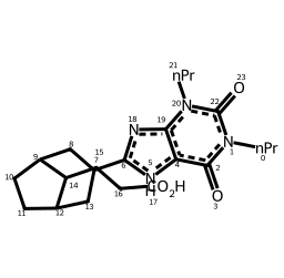 CCCn1c(=O)c2[nH]c(C3CC4CCC(C3)C4CCC(=O)O)nc2n(CCC)c1=O